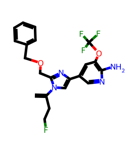 C=C(CCF)n1cc(-c2cnc(N)c(OC(F)(F)F)c2)nc1COCc1ccccc1